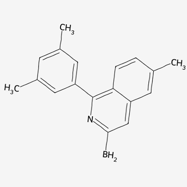 Bc1cc2cc(C)ccc2c(-c2cc(C)cc(C)c2)n1